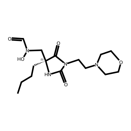 CCCC[C@@]1(CN(O)C=O)NC(=O)N(CCN2CCOCC2)C1=O